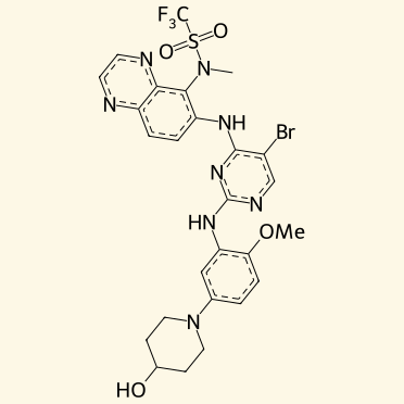 COc1ccc(N2CCC(O)CC2)cc1Nc1ncc(Br)c(Nc2ccc3nccnc3c2N(C)S(=O)(=O)C(F)(F)F)n1